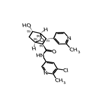 Cc1cc([C@H]2[C@H]3O[C@H](C[C@@H]3O)[C@@H]2C(=O)Nc2cnc(C)c(Cl)c2)ccn1